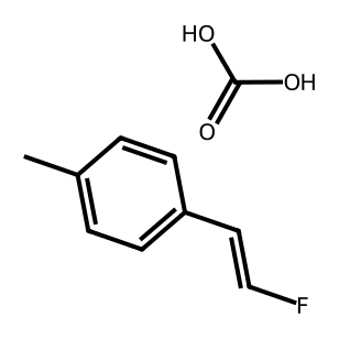 Cc1ccc(C=CF)cc1.O=C(O)O